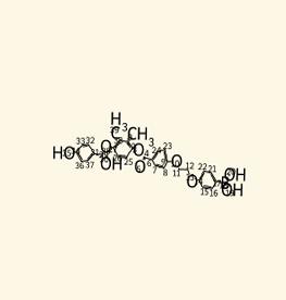 Cc1c(OC(=O)c2ccc(OCCOc3ccc(B(O)O)cc3)cc2)ccc(OC(O)c2ccc(O)cc2)c1C